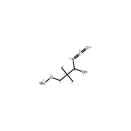 CC(C)(C)OCC(C)(C)C(O)N=C=O